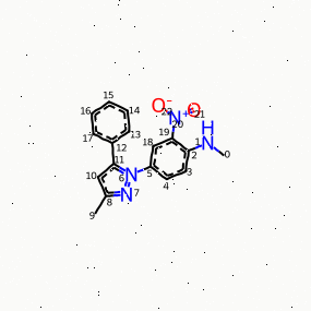 CNc1ccc(-n2nc(C)cc2-c2ccccc2)cc1[N+](=O)[O-]